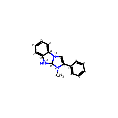 CN1C(c2ccccc2)=CN2c3ccccc3NC12